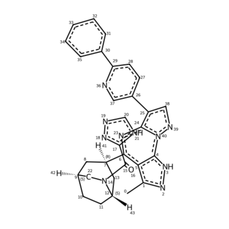 Cc1n[nH]c2c1c([C@@H]1C[C@@H]3CC[C@@H](C1)N(C(=O)c1nnc[nH]1)C3)nc1c(-c3ccc(-c4ccccc4)nc3)cnn12